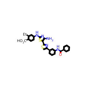 CCc1cc(Nc2nc(N)c(-c3nc(-c4cccc(NC(=O)c5ccccc5)c4)cs3)s2)ccc1C(=O)O